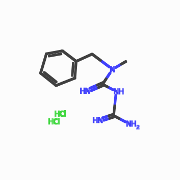 CN(Cc1ccccc1)C(=N)NC(=N)N.Cl.Cl